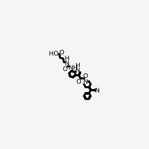 N#CC(=C1CCN(C(=O)C(=O)c2c[nH]c3c(NC(=O)NCCCC(=O)O)cccc23)CC1)c1ccccc1